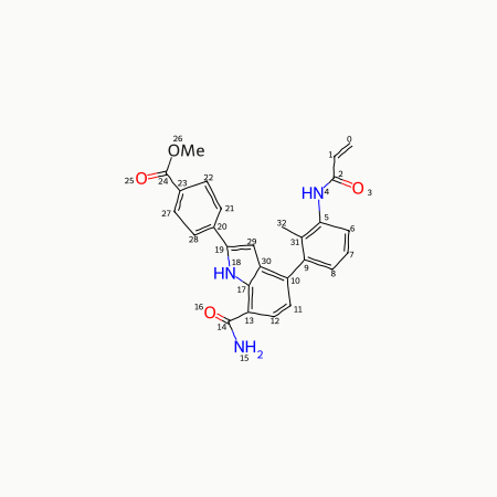 C=CC(=O)Nc1cccc(-c2ccc(C(N)=O)c3[nH]c(-c4ccc(C(=O)OC)cc4)cc23)c1C